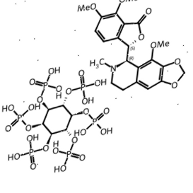 COc1ccc2c(c1OC)C(=O)O[C@@H]2[C@H]1c2c(cc3c(c2OC)OCO3)CCN1C.O=P(O)(O)O[C@H]1[C@H](OP(=O)(O)O)[C@@H](OP(=O)(O)O)[C@H](OP(=O)(O)O)[C@@H](OP(=O)(O)O)[C@H]1OP(=O)(O)O